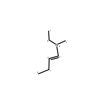 CC/C=C/N(C)CC